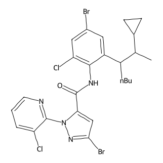 CCCCC(c1cc(Br)cc(Cl)c1NC(=O)c1cc(Br)nn1-c1ncccc1Cl)C(C)C1CC1